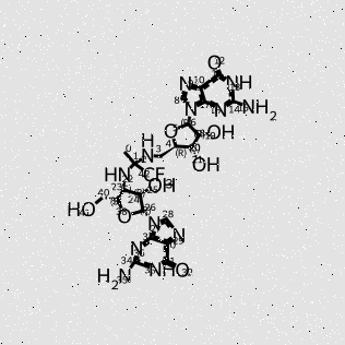 CC(NC[C@H]1O[C@@H](n2cnc3c(=O)[nH]c(N)nc32)[C@H](O)[C@@H]1O)(N[C@H]1[C@@H](O)[C@H](n2cnc3c(=O)[nH]c(N)nc32)O[C@@H]1CO)C(F)(F)F